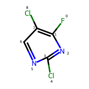 Fc1nc(Cl)ncc1Cl